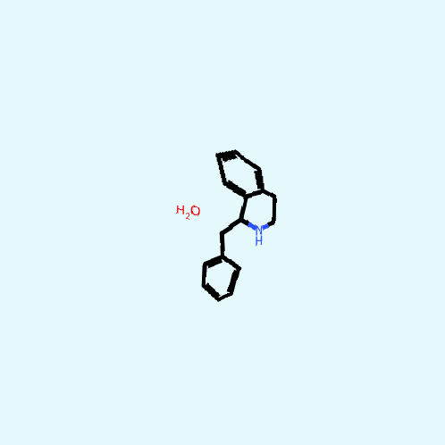 O.c1ccc(CC2NCCc3ccccc32)cc1